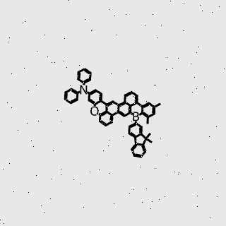 Cc1cc(C)c2c(c1)-c1cccc3c1c(cc1c4cccc5c4c(cc31)-c1ccc(N(c3ccccc3)c3ccccc3)cc1O5)B2c1ccc2c(c1)C(C)(C)c1ccccc1-2